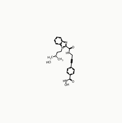 CN(C)CCn1c(C(=O)NCC#Cc2ccc(C(=O)NO)cc2)nc2ccccc21.Cl